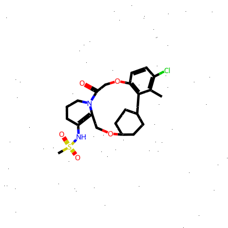 Cc1c(Cl)ccc2c1C1CCC(CC1)OCC1=C(NS(C)(=O)=O)CCCN1C(=O)CO2